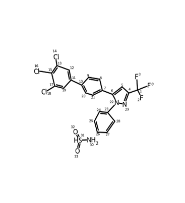 FC(F)(F)c1cc(-c2ccc(-c3cc(Cl)c(Cl)c(Cl)c3)cc2)n(-c2ccccc2)n1.N[SH](=O)=O